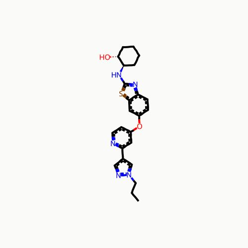 CCCn1cc(-c2cc(Oc3ccc4nc(N[C@@H]5CCCC[C@H]5O)sc4c3)ccn2)cn1